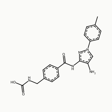 Cc1ccc(-n2cc(N)c(NC(=O)c3ccc(CNC(=O)O)cc3)n2)cc1